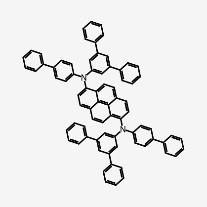 c1ccc(-c2ccc(N(c3cc(-c4ccccc4)cc(-c4ccccc4)c3)c3ccc4ccc5c(N(c6ccc(-c7ccccc7)cc6)c6cc(-c7ccccc7)cc(-c7ccccc7)c6)ccc6ccc3c4c65)cc2)cc1